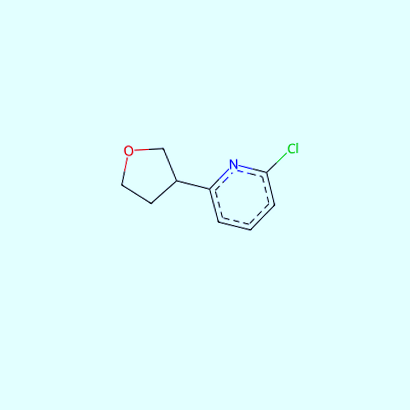 Clc1cccc(C2CCOC2)n1